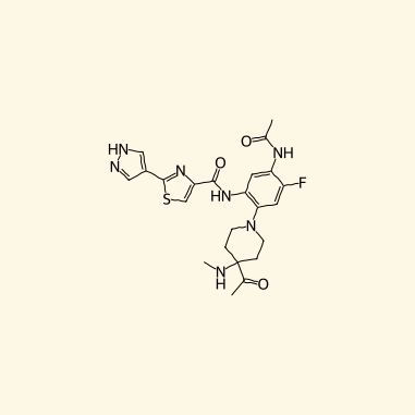 CNC1(C(C)=O)CCN(c2cc(F)c(NC(C)=O)cc2NC(=O)c2csc(-c3cn[nH]c3)n2)CC1